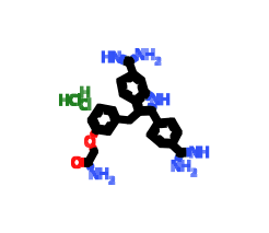 Cl.Cl.N=C(N)c1ccc(-c2[nH]c3cc(C(=N)N)ccc3c2Cc2cccc(OCC(N)=O)c2)cc1